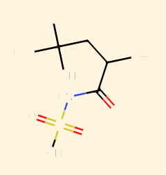 CC(CC(C)(C)C)C(=O)NS(C)(=O)=O